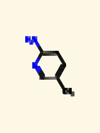 Cc1[c]nc(N)cc1